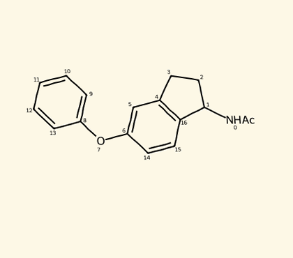 CC(=O)NC1CCc2cc(Oc3ccccc3)ccc21